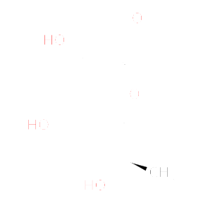 C[C@@H](O)[C@H]1OC(=O)[C@@H](O)[C@H]1O